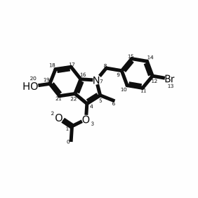 CC(=O)Oc1c(C)n(Cc2ccc(Br)cc2)c2ccc(O)cc12